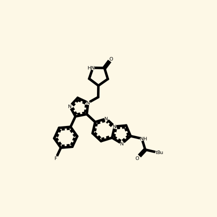 CC(C)(C)C(=O)Nc1cn2nc(-c3c(-c4ccc(F)cc4)ncn3CC3CNC(=O)C3)ccc2n1